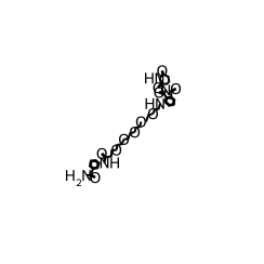 NC(=O)c1cccc(NC(=O)CCOCCOCCOCCOCCOCCNc2cccc3c2C(=O)N(C2CCC(=O)NC2=O)C3=O)c1